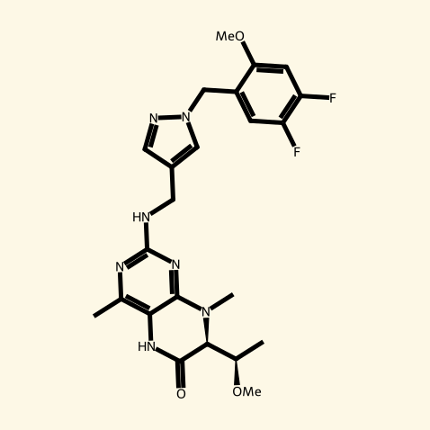 COc1cc(F)c(F)cc1Cn1cc(CNc2nc(C)c3c(n2)N(C)[C@@H]([C@@H](C)OC)C(=O)N3)cn1